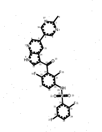 Cc1ncc(-c2cnc3[nH]cc(C(=O)c4c(F)ccc(NS(=O)(=O)c5cc(F)ccc5F)c4F)c3c2)cn1